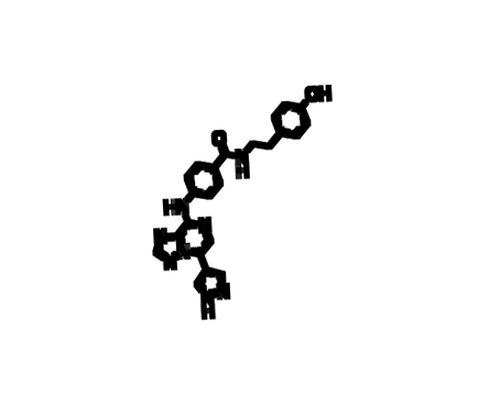 O=C(NCCc1ccc(O)cc1)c1ccc(Nc2ncc(-c3cn[nH]c3)n3ncnc23)cc1